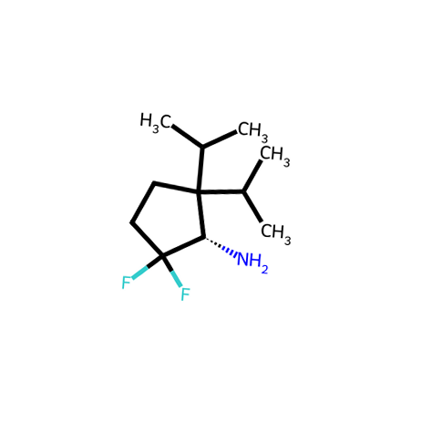 CC(C)C1(C(C)C)CCC(F)(F)[C@H]1N